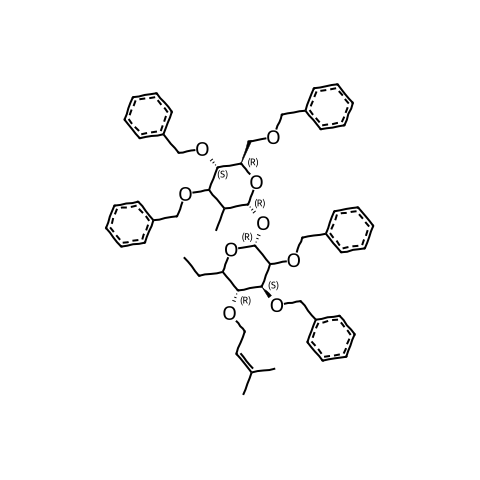 CCC1O[C@H](O[C@H]2O[C@H](COCc3ccccc3)[C@@H](OCc3ccccc3)C(OCc3ccccc3)C2C)C(OCc2ccccc2)[C@@H](OCc2ccccc2)[C@@H]1OCC=C(C)C